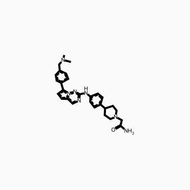 CN(C)Cc1ccc(-c2ccc3cnc(Nc4ccc(C5CCN(CC(N)=O)CC5)cc4)nn23)cc1